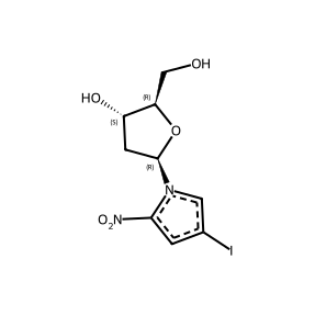 O=[N+]([O-])c1cc(I)cn1[C@H]1C[C@H](O)[C@@H](CO)O1